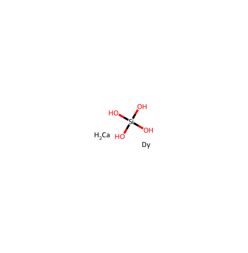 O[Si](O)(O)O.[CaH2].[Dy]